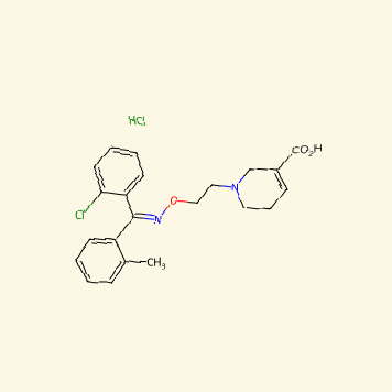 Cc1ccccc1C(=NOCCN1CCC=C(C(=O)O)C1)c1ccccc1Cl.Cl